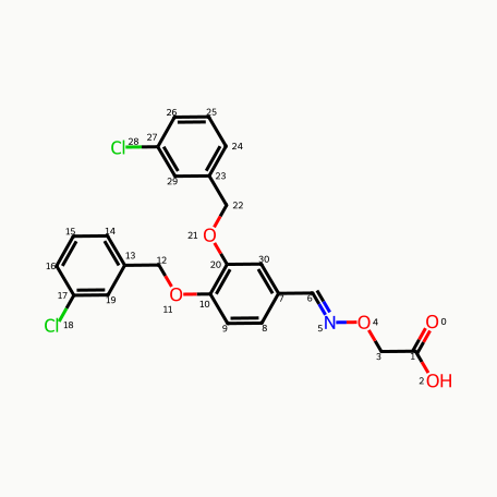 O=C(O)CON=Cc1ccc(OCc2cccc(Cl)c2)c(OCc2cccc(Cl)c2)c1